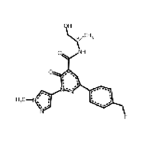 C[C@@H](CO)NC(=O)c1cc(-c2ccc(CF)cc2)nn(-c2cnn(C)c2)c1=O